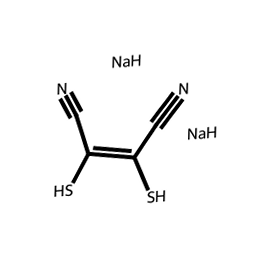 N#C/C(S)=C(/S)C#N.[NaH].[NaH]